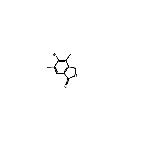 Cc1cc2c(c(C)c1Br)COC2=O